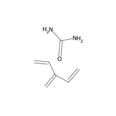 C=CC(=C)C=C.NC(N)=O